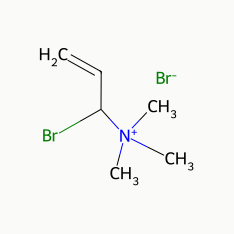 C=CC(Br)[N+](C)(C)C.[Br-]